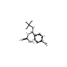 CC(C)(C)C[C@H](OC(N)=O)c1ccc(Br)cc1